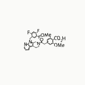 COc1cc(CC(=O)N2CCc3c(n(Cc4cc(F)c(F)cc4F)c4ncccc34)C2)cc(OC)c1C(=O)O